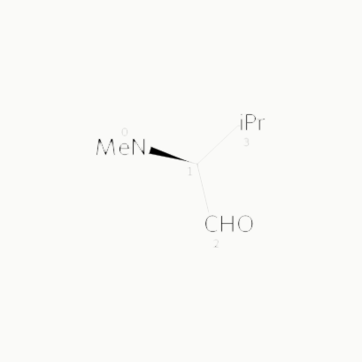 CN[C@H](C=O)C(C)C